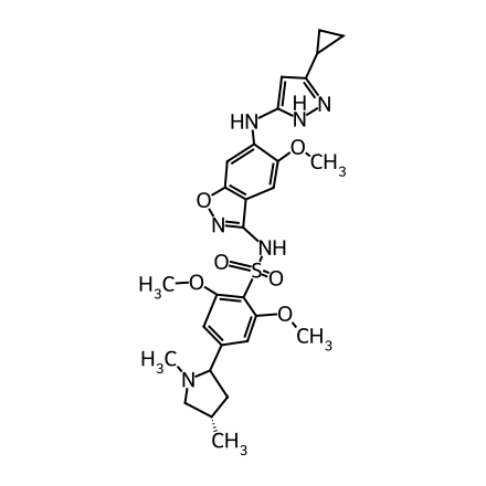 COc1cc2c(NS(=O)(=O)c3c(OC)cc(C4C[C@H](C)CN4C)cc3OC)noc2cc1Nc1cc(C2CC2)n[nH]1